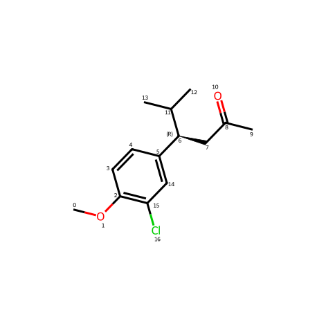 COc1ccc([C@H](CC(C)=O)C(C)C)cc1Cl